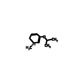 CC(C)OC1=C[C@H](C)CC=C1